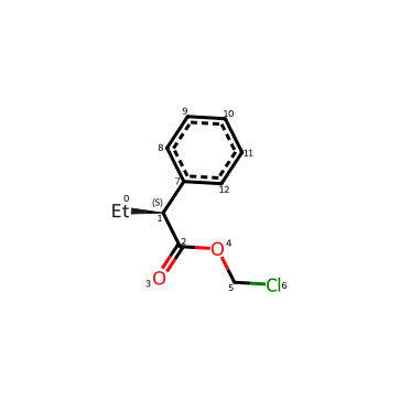 CC[C@H](C(=O)OCCl)c1ccccc1